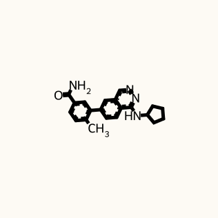 Cc1ccc(C(N)=O)cc1-c1ccc2c(NC3CCCC3)nncc2c1